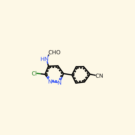 N#Cc1ccc(-c2cc(NC=O)c(Cl)nn2)cc1